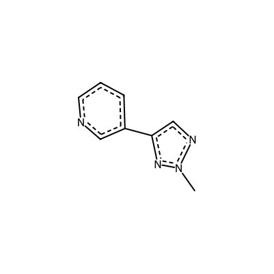 Cn1ncc(-c2cccnc2)n1